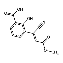 COC(=O)C=C(C#N)c1cccc(C(=O)O)c1O